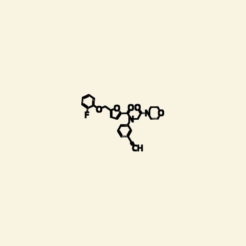 C#Cc1cccc(N(CC(=O)N2CCOCC2)C(=O)c2ccc(COc3ccccc3F)o2)c1